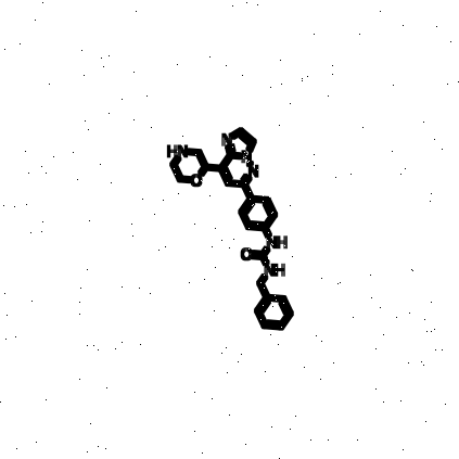 O=C(NCc1ccccc1)Nc1ccc(-c2cc(C3CNCCO3)c3nccn3n2)cc1